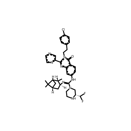 C[C@@H]1[C@@H](N=C(Nc2ccc3c(=O)n(CCc4ccc(Cl)cc4)c(-c4cnccn4)nc3c2)N2CCN[C@@H](C(F)F)C2)C[C@H]2C[C@@H]1C2(C)C